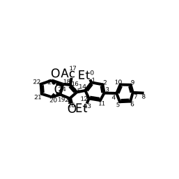 CCc1cc(-c2ccc(C)cc2)cc(CC)c1C1=C(OC(C)=O)c2c(c3ccc2o3)C1=O